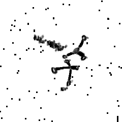 O=P([O-])([O-])[O-].[Na+].[Na+].[Na+].[Na+].[Na+].[Na+].[O-]B([O-])[O-]